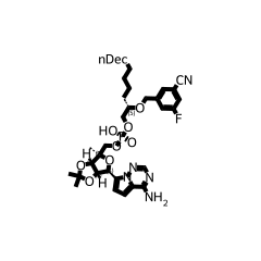 CCCCCCCCCCCCCC[C@@H](COP(=O)(O)OC[C@@]1(C)O[C@@H](c2ccc3c(N)ncnn23)[C@@H]2OC(C)(C)O[C@@H]21)OCc1cc(F)cc(C#N)c1